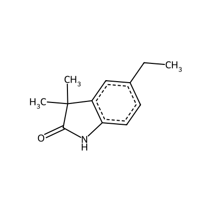 CCc1ccc2c(c1)C(C)(C)C(=O)N2